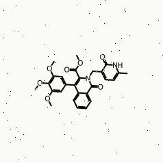 COC(=O)c1c(-c2cc(OC)c(OC)c(OC)c2)c2ccccc2c(=O)n1Cc1ccc(C)[nH]c1=O